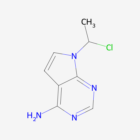 CC(Cl)n1ccc2c(N)ncnc21